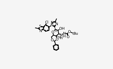 Cc1nc([C@@H]2OC3COC(c4ccccc4)O[C@@H]3C(NNC(=O)OC(C)(C)C)C2O)n(-c2ccc3nc(C)sc3c2Cl)n1